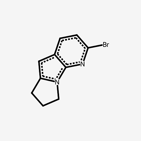 Brc1ccc2cc3n(c2n1)CCC3